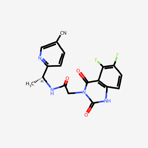 C[C@@H](NC(=O)Cn1c(=O)[nH]c2ccc(F)c(F)c2c1=O)c1ccc(C#N)cn1